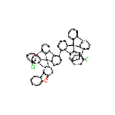 Clc1cccc(-c2cccc3c2C2(c4ccccc4-c4c2ccc2oc5ccccc5c42)c2cccc(-c4cccc5c4-c4ccccc4C54c5ccccc5-c5cccc(-c6ccccc6Cl)c54)c2-3)c1